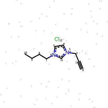 C#CC[n+]1ccn(CCCC)c1.[Cl-]